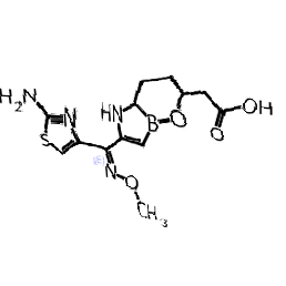 CO/N=C(\C1=CB2OC(CC(=O)O)CCC2N1)c1csc(N)n1